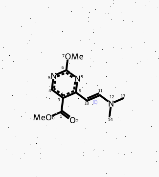 COC(=O)c1cnc(OC)nc1/C=C/N(C)C